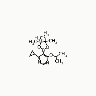 CC(C)Oc1ncnc(C2CC2)c1B1OC(C)(C)C(C)(C)O1